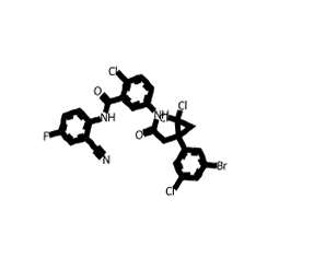 N#Cc1cc(F)ccc1NC(=O)c1cc(NC(=O)CC2(c3cc(Cl)cc(Br)c3)CC2(Cl)Cl)ccc1Cl